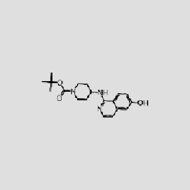 CC(C)(C)OC(=O)N1CCC(Nc2nccc3cc(O)ccc23)CC1